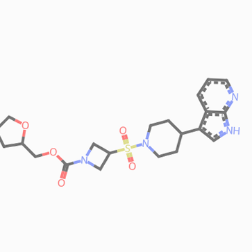 O=C(OCC1CCCO1)N1CC(S(=O)(=O)N2CCC(c3c[nH]c4ncccc34)CC2)C1